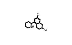 CC(=O)N1CCc2c(cc(Cl)cc2C2CCCCN2)C1